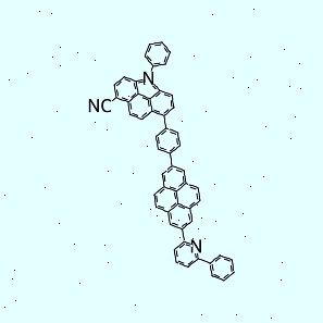 N#Cc1ccc2c3c1ccc1c(-c4ccc(-c5cc6ccc7cc(-c8cccc(-c9ccccc9)n8)cc8ccc(c5)c6c78)cc4)ccc(c13)n2-c1ccccc1